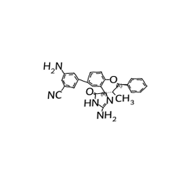 CC1[C@H](c2ccccc2)Oc2ccc(-c3cc(N)cc(C#N)c3)cc2[C@]12N=C(N)NC2=O